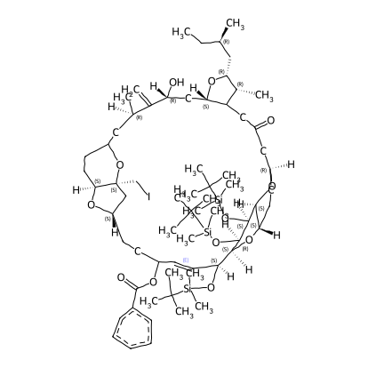 C=C1[C@H](C)CC2CC[C@@H]3O[C@@H](CCC(OC(=O)c4ccccc4)/C=C/[C@H](O[Si](C)(C)C(C)(C)C)[C@@H]4O[C@H]5CC[C@H](CC(=O)CC6[C@H](C[C@H]1O)O[C@H](C[C@H](C)CC)[C@@H]6C)O[C@@H]5[C@H](O[Si](C)(C)C(C)(C)C)[C@@H]4O[Si](C)(C)C(C)(C)C)C[C@]3(CI)O2